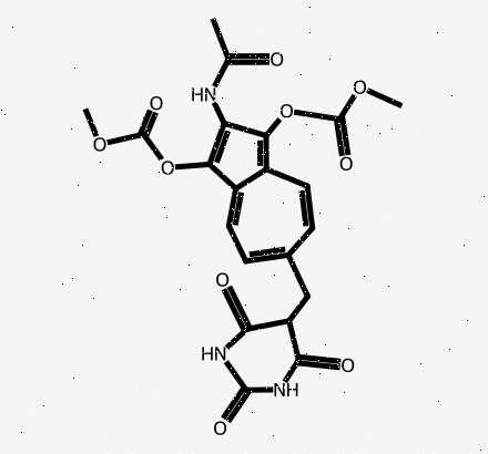 COC(=O)Oc1c2ccc(CC3C(=O)NC(=O)NC3=O)ccc-2c(OC(=O)OC)c1NC(C)=O